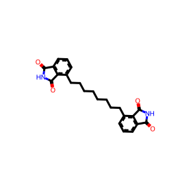 O=C1NC(=O)c2c(CCCCCCCCc3cccc4c3C(=O)NC4=O)cccc21